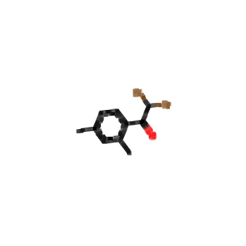 Cc1ccc(C(=O)C(Br)Br)c(C)c1